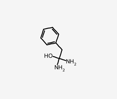 NC(N)(O)Cc1ccccc1